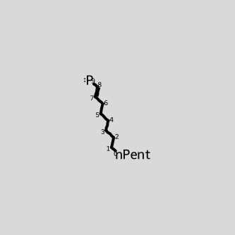 CCCCCCCCCCCC=C[P]